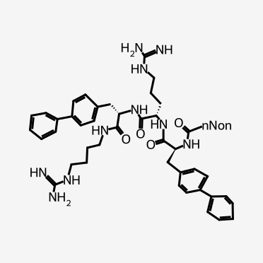 CCCCCCCCCC(=O)N[C@@H](Cc1ccc(-c2ccccc2)cc1)C(=O)N[C@@H](CCCNC(=N)N)C(=O)N[C@@H](Cc1ccc(-c2ccccc2)cc1)C(=O)NCCCCNC(=N)N